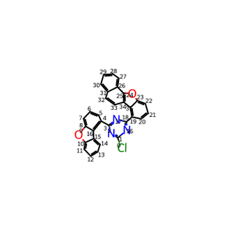 Clc1nc(-c2cccc3oc4ccccc4c23)nc(-c2cccc3oc4c5ccccc5ccc4c23)n1